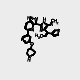 C=Nc1[nH]c(-c2n[nH]c3ccc(-c4cncc(OC5CCNCC5)c4)nc23)nc1/C(=C\C)c1ccsc1